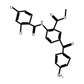 COC(=O)c1cc(C(=O)c2ccc(N)cc2)ccc1NC(=O)c1ccc(Cl)cc1Cl